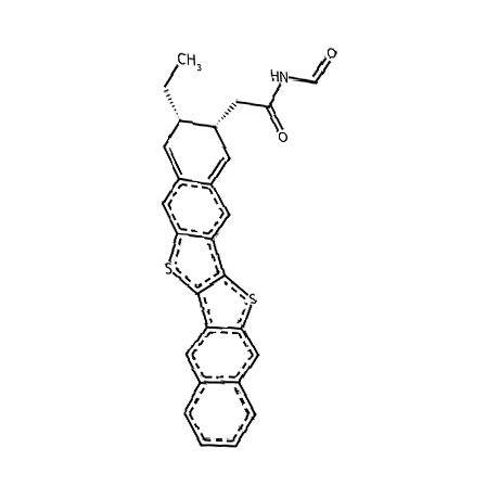 CC[C@H]1C=c2cc3sc4c5cc6ccccc6cc5sc4c3cc2=C[C@H]1CC(=O)NC=O